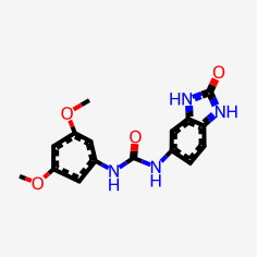 COc1cc(NC(=O)Nc2ccc3[nH]c(=O)[nH]c3c2)cc(OC)c1